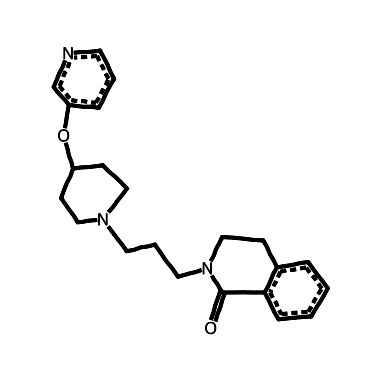 O=C1c2ccccc2CCN1CCCN1CCC(Oc2cccnc2)CC1